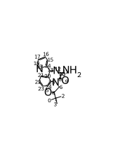 CC(C)(C)C(=O)CN1C(=O)[C@H](N)N=C(c2ccccn2)c2ccccc21